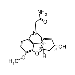 COc1ccc2c3c1O[C@H]1C[C@@H](O)C=C[C@@]31CCN(CC(N)=O)C2